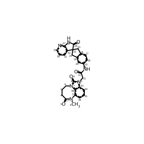 CN1C(=O)CCCn2c(=O)n(CC(=O)Nc3ccc4c(c3)CC3(C4)C(=O)Nc4ncccc43)c3cccc1c32